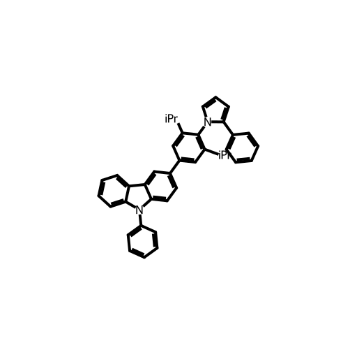 CC(C)c1cc(-c2ccc3c(c2)c2ccccc2n3-c2ccccc2)cc(C(C)C)c1-n1cccc1-c1ccccc1